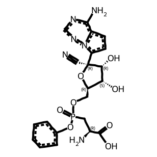 N#C[C@@]1(c2ccc3c(N)ncnn23)O[C@H](COP(=O)(C[C@H](N)C(=O)O)Oc2ccccc2)[C@@H](O)[C@H]1O